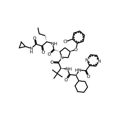 CCC[C@H](NC(=O)[C@@H]1C[C@@H](Oc2ccccc2Cl)CN1C(=O)[C@@H](NC(=O)[C@@H](NC(=O)c1cnccn1)C1CCCCC1)C(C)(C)C)C(=O)C(=O)NC1CC1